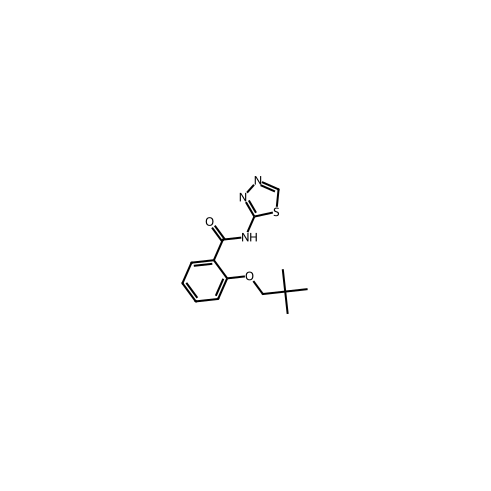 CC(C)(C)COc1ccccc1C(=O)Nc1nncs1